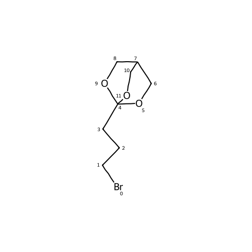 BrCCCC12OCC(CO1)CO2